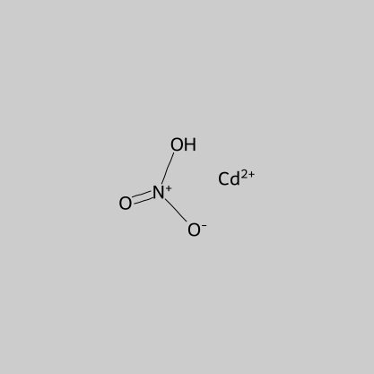 O=[N+]([O-])O.[Cd+2]